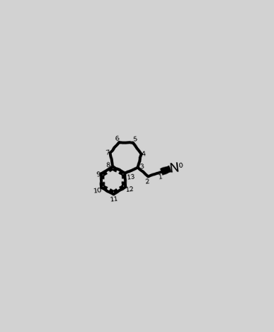 N#CCC1CCCCc2ccccc21